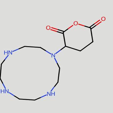 O=C1CCC(N2CCNCCNCCNCC2)C(=O)O1